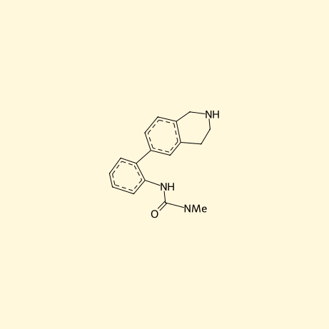 CNC(=O)Nc1ccccc1-c1ccc2c(c1)CCNC2